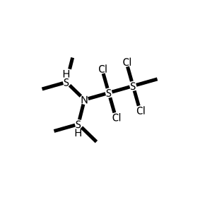 C[SH](C)N([SH](C)C)S(Cl)(Cl)S(C)(Cl)Cl